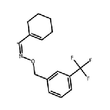 FC(F)(F)c1cccc(CO/N=[C]\C2=CCCCC2)c1